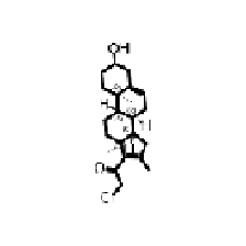 CC1=C(C(=O)CCl)[C@@]2(C)CC[C@H]3[C@@H](CC=C4CC(O)CC[C@@]43C)[C@@H]2C1